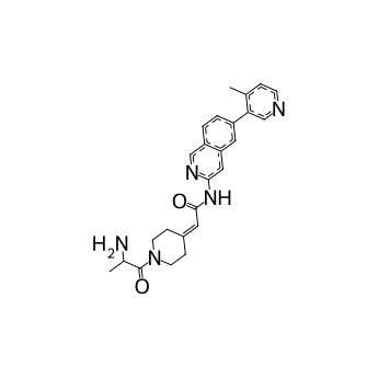 Cc1ccncc1-c1ccc2cnc(NC(=O)C=C3CCN(C(=O)C(C)N)CC3)cc2c1